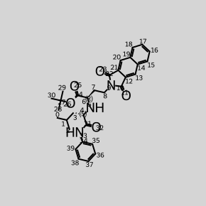 CC(C)C[C@H](N[C@H](CCN1C(=O)c2cc3ccccc3cc2C1=O)C(=O)OC(C)(C)C)C(=O)Nc1ccccc1